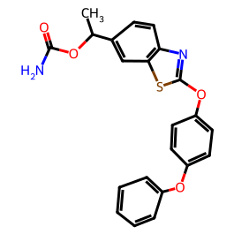 CC(OC(N)=O)c1ccc2nc(Oc3ccc(Oc4ccccc4)cc3)sc2c1